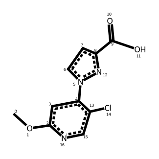 COc1cc(-n2ccc(C(=O)O)n2)c(Cl)cn1